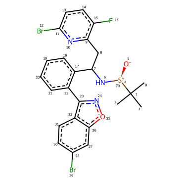 CC(C)(C)[S@+]([O-])NC(Cc1nc(Br)ccc1F)c1ccccc1-c1noc2cc(Br)ccc12